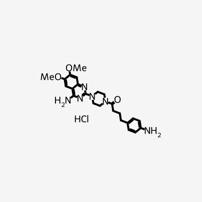 COc1cc2nc(N3CCN(C(=O)CCCc4ccc(N)cc4)CC3)nc(N)c2cc1OC.Cl